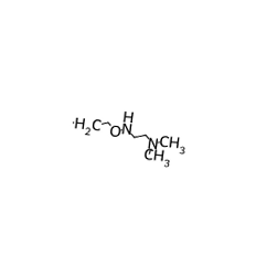 [CH2]CONCCN(C)C